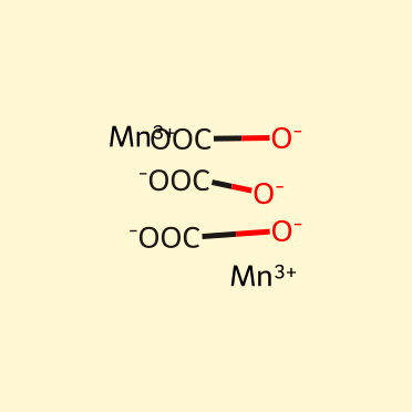 O=C([O-])[O-].O=C([O-])[O-].O=C([O-])[O-].[Mn+3].[Mn+3]